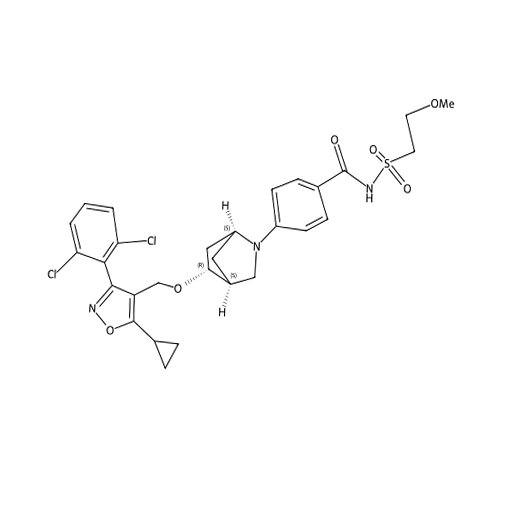 COCCS(=O)(=O)NC(=O)c1ccc(N2C[C@@H]3C[C@H]2C[C@H]3OCc2c(-c3c(Cl)cccc3Cl)noc2C2CC2)cc1